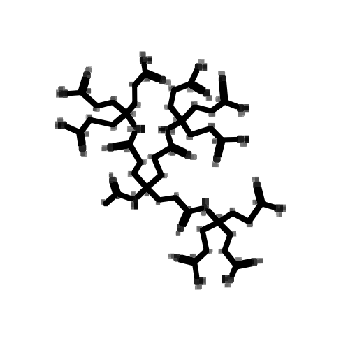 CC(=O)NC(CCC(=O)NC(CCC(=O)O)(CCC(=O)O)CCC(=O)O)(CCC(=O)NC(CCC(=O)O)(CCC(=O)O)CCC(=O)O)CCC(=O)NC(CCC(=O)O)(CCC(=O)O)CCC(=O)O